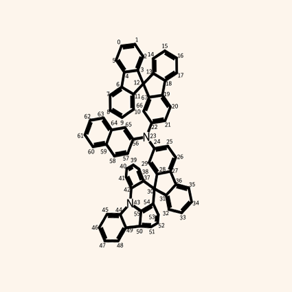 c1ccc2c(c1)-c1ccccc1C21c2ccccc2-c2ccc(N(c3ccc4c(c3)C3(c5ccccc5-4)c4ccccc4-n4c5ccccc5c5cccc3c54)c3ccc4ccccc4c3)cc21